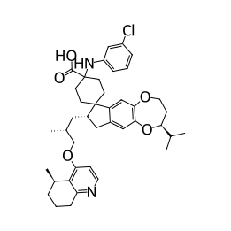 CC(C)[C@@H]1CCOc2cc3c(cc2O1)C[C@H](C[C@@H](C)COc1ccnc2c1[C@H](C)CCC2)C31CCC(Nc2cccc(Cl)c2)(C(=O)O)CC1